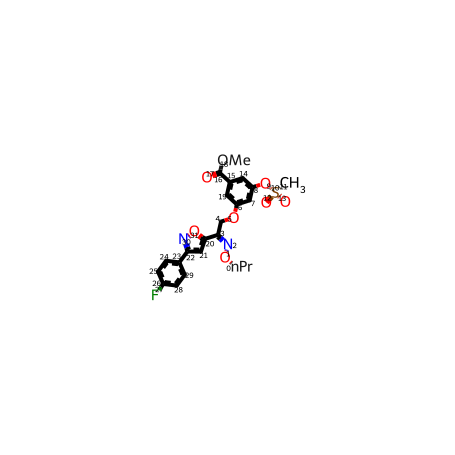 CCCON=C(COc1cc(OS(C)(=O)=O)cc(C(=O)OC)c1)c1cc(-c2ccc(F)cc2)no1